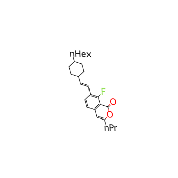 CCCCCCC1CCC(/C=C/c2ccc3cc(CCC)oc(=O)c3c2F)CC1